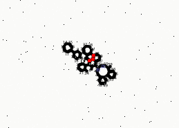 Cc1c(C2C(N(C3=CCC(C4=CC=CCC=C4)C=C3)C3=CCCC4=C3C=CCCC4)=CC=CC2C)cc2ccccc2c1C1=C/Cc2ccccc2-c2ccccc2C(C)/C=C\1